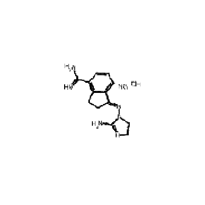 Cl.Cl.N=C(N)c1cccc2c1CC/C2=N\N1CCN=C1N